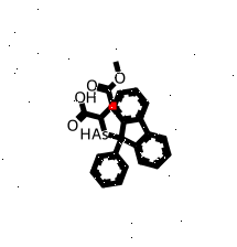 COC(=O)CC([AsH]C1(c2ccccc2)c2ccccc2-c2ccccc21)C(=O)O